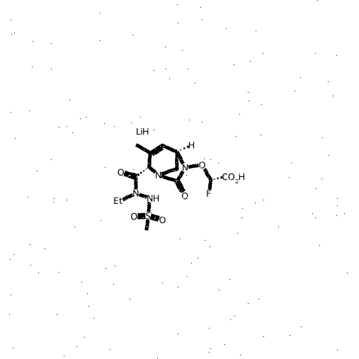 CCN(NS(C)(=O)=O)C(=O)[C@@H]1C(C)=C[C@@H]2CN1C(=O)N2O[C@@H](F)C(=O)O.[LiH]